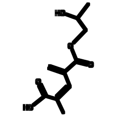 C=C(C=C(C)C(=O)O)C(=O)OCC(C)O